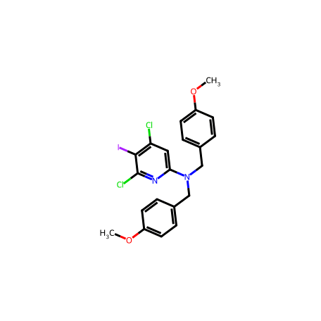 COc1ccc(CN(Cc2ccc(OC)cc2)c2cc(Cl)c(I)c(Cl)n2)cc1